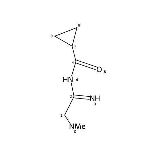 CNCC(=N)NC(=O)C1CC1